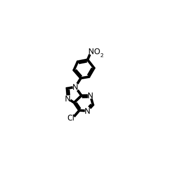 O=[N+]([O-])c1ccc(-n2cnc3c(Cl)ncnc32)cc1